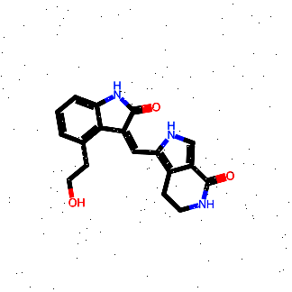 O=C1Nc2cccc(CCO)c2C1=Cc1[nH]cc2c1CCNC2=O